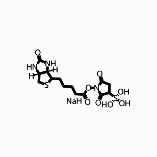 O=C1N[C@H]2CSC(CCCCC(=O)ON3C(=O)CC(S(O)(O)O)C3=O)[C@H]2N1.[NaH]